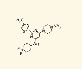 Cc1csc(-c2nc(NC3CCC(F)(F)CC3)cc(N3CCN(C)CC3)n2)n1